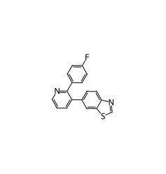 Fc1ccc(-c2ncccc2-c2ccc3ncsc3c2)cc1